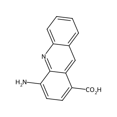 Nc1ccc(C(=O)O)c2cc3ccccc3nc12